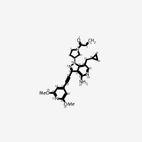 C=CC(=O)N1CC[C@H](n2nc(C#Cc3cc(OC)nc(OC)c3)c3c(N)ncc(CC4CC4)c32)C1